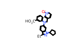 CCc1nn(C2CCCC2)c2cc(N(Cc3ccc[n+]([O-])c3)c3cccc(C(=O)O)c3)ccc12